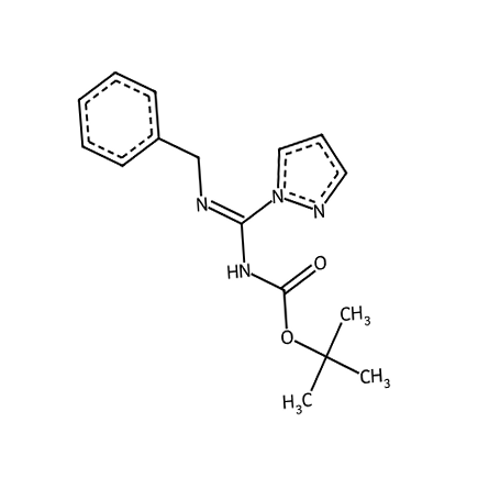 CC(C)(C)OC(=O)NC(=NCc1ccccc1)n1cccn1